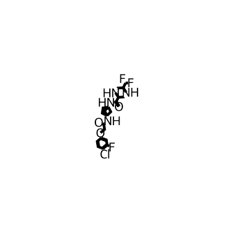 O=C(COc1ccc(Cl)c(F)c1)NC12CCC(NC(=O)C3CNC(C(F)F)CN3)(C1)C2